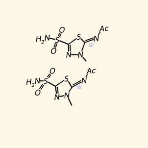 CC(=O)/N=c1\sc(S(N)(=O)=O)nn1C.CC(=O)/N=c1\sc(S(N)(=O)=O)nn1C